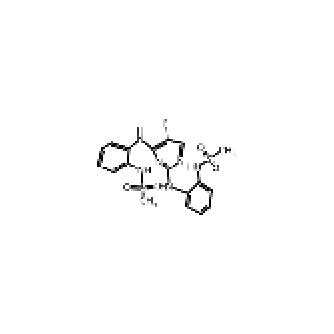 CS(=O)(=O)Nc1ccccc1Nc1ncc(F)c(Nc2ccccc2NS(C)(=O)=O)n1